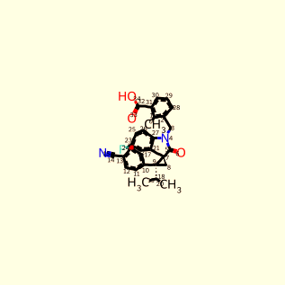 Cc1c(CN2C(=O)[C@@]3(C[C@]3(c3ccc(C#N)cc3)C(C)C)c3cc(F)ccc32)cccc1C(=O)O